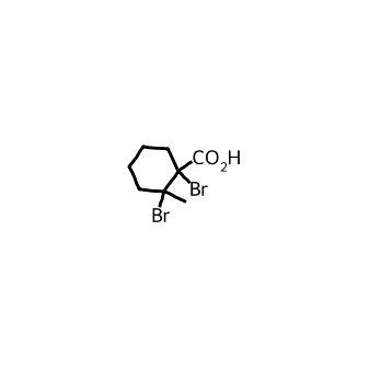 CC1(Br)CCCCC1(Br)C(=O)O